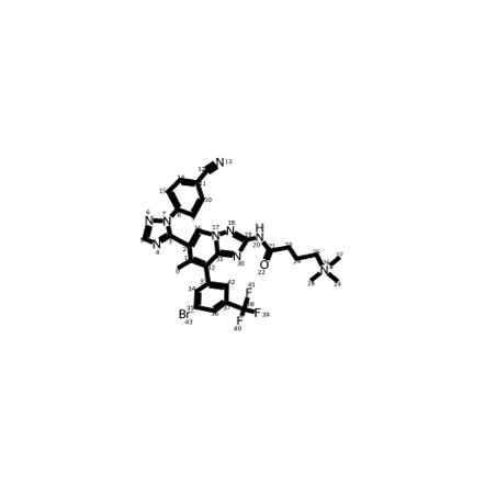 Cc1c(-c2ncnn2-c2ccc(C#N)cc2)cn2nc(NC(=O)CCC[N+](C)(C)C)nc2c1-c1cccc(C(F)(F)F)c1.[Br-]